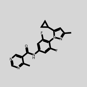 Cc1cc(C2CC2)n(-c2c(F)cc(NC(=O)c3cncnc3C)cc2F)n1